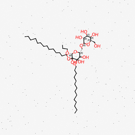 CCCCCCCCCCCCCCO[C@]1(O)[C@H](OCCC)O[C@H](CO[C@@H]2O[C@H](CO)[C@H](O)[C@H](O)[C@H]2O)[C@@H](O)[C@@]1(O)OCCCCCCCCCCCCCC